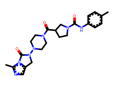 Cc1ccc(NC(=O)N2CCC(C(=O)N3CCN(N4Cc5cnc(C)n5C4=O)CC3)C2)cc1